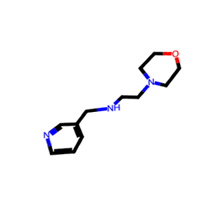 c1cncc(CNCCN2CCOCC2)c1